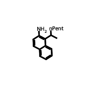 CCCCCC(C)c1c(N)ccc2ccccc12